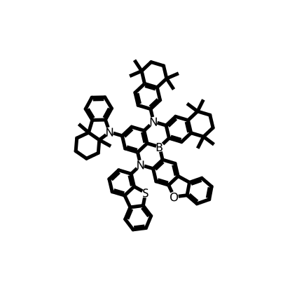 CC1(C)CCC(C)(C)c2cc(N3c4cc5c(cc4B4c6cc7c(cc6N(c6cccc8c6sc6ccccc68)c6cc(N8c9ccccc9C9(C)CCCCC89C)cc3c64)oc3ccccc37)C(C)(C)CCC5(C)C)ccc21